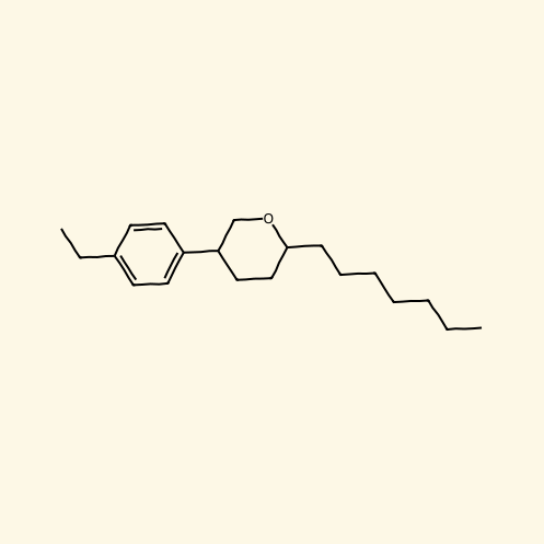 CCCCCCCC1CCC(c2ccc(CC)cc2)CO1